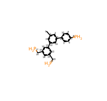 Cc1cc(-c2ccc(P)cc2)cc(-c2cc(CP)cc(CP)c2)c1